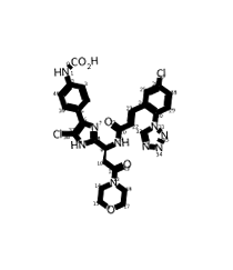 O=C(O)Nc1ccc(-c2nc([C@H](CC(=O)N3CCOCC3)NC(=O)/C=C/c3cc(Cl)ccc3-n3cnnn3)[nH]c2Cl)cc1